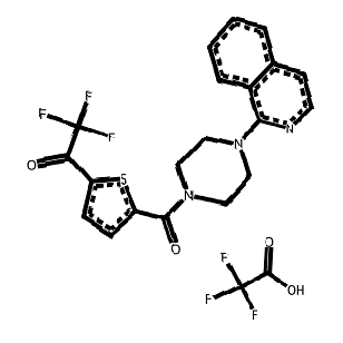 O=C(O)C(F)(F)F.O=C(c1ccc(C(=O)C(F)(F)F)s1)N1CCN(c2nccc3ccccc23)CC1